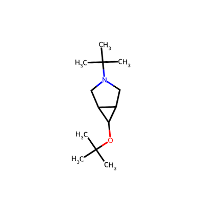 CC(C)(C)OC1C2CN(C(C)(C)C)CC21